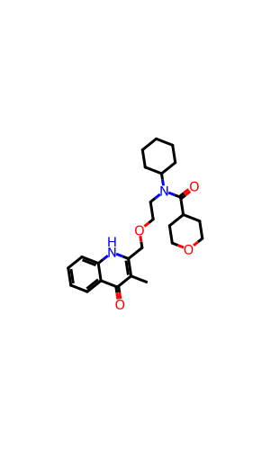 Cc1c(COCCN(C(=O)C2CCOCC2)C2CCCCC2)[nH]c2ccccc2c1=O